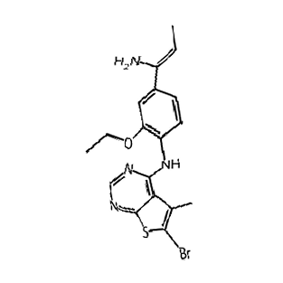 CC=C(N)c1ccc(Nc2ncnc3sc(Br)c(C)c23)c(OCC)c1